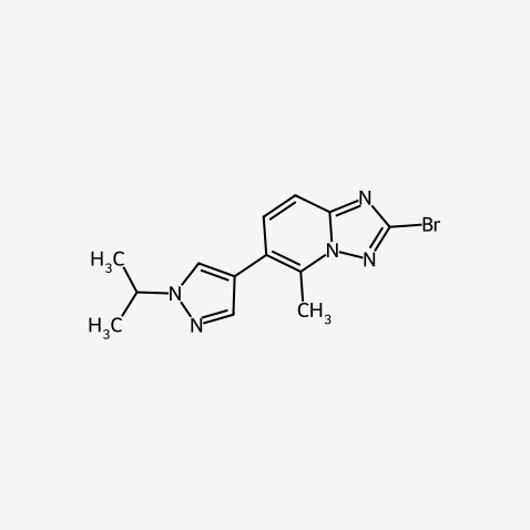 Cc1c(-c2cnn(C(C)C)c2)ccc2nc(Br)nn12